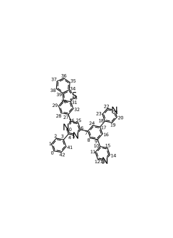 c1ccc(-c2nc(-c3cc(-c4ccncc4)cc(-c4ccncc4)c3)cc(-c3ccc4c(c3)sc3ccccc34)n2)cc1